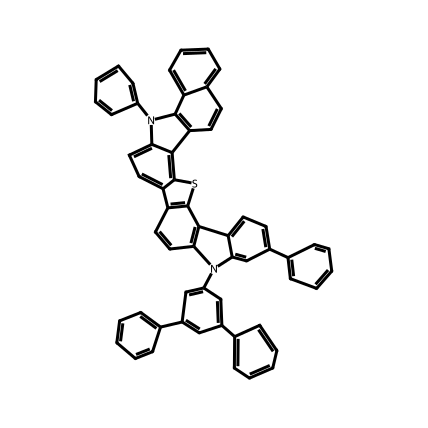 c1ccc(-c2cc(-c3ccccc3)cc(-n3c4cc(-c5ccccc5)ccc4c4c5sc6c(ccc7c6c6ccc8ccccc8c6n7-c6ccccc6)c5ccc43)c2)cc1